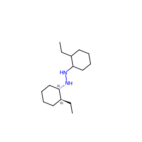 CCC1CCCCC1NN[C@H]1CCCC[C@@H]1CC